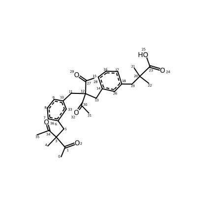 CC(=O)C(C)(Cc1cccc(CC(Cc2cccc(CC(C)(C)C(=O)O)c2)(C(C)=O)C(C)=O)c1)C(C)=O